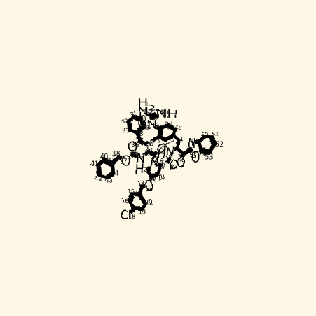 Cc1cc(CC(NC(=O)[C@@H]2C[C@@H](OCc3ccc(Cl)cc3)CN2C(=O)[C@@H](CCc2ccccc2)NC(=O)OCc2ccccc2)C(=O)c2nc3ccccc3o2)ccc1NC(=N)N